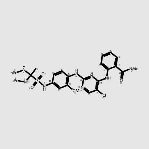 CCCNC(C)(NCCC)S(=O)(=O)Nc1ccc(Nc2ncc(Cl)c(Nc3ccccc3C(=O)NC)n2)c(OC)c1